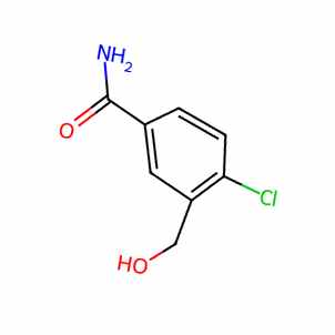 NC(=O)c1ccc(Cl)c(CO)c1